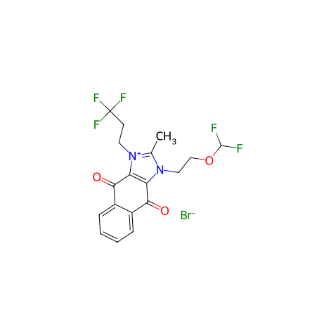 Cc1n(CCOC(F)F)c2c([n+]1CCC(F)(F)F)C(=O)c1ccccc1C2=O.[Br-]